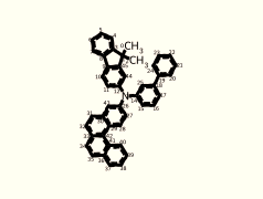 CC1(C)c2ccccc2-c2ccc(N(c3cccc(-c4ccccc4)c3)c3ccc4c(ccc5ccc6ccccc6c54)c3)cc21